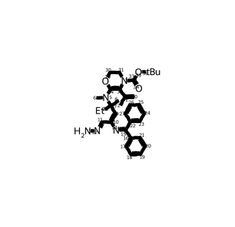 C=C(C)C1=C(N(C)C(C)(/C=C(\C=N\N)N=C(c2ccccc2)c2ccccc2)CC)OCCN1C(=O)OC(C)(C)C